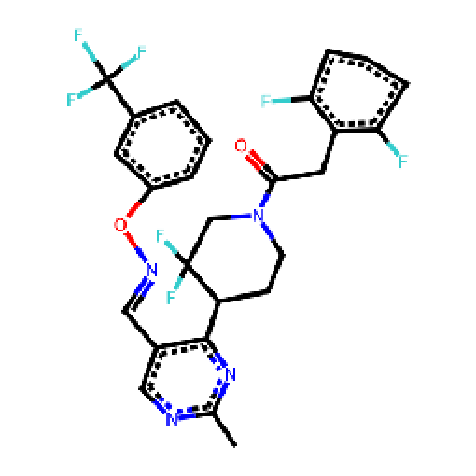 Cc1ncc(C=NOc2cccc(C(F)(F)F)c2)c(C2CCN(C(=O)Cc3c(F)cccc3F)CC2(F)F)n1